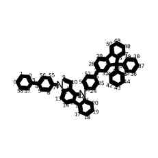 c1ccc(-c2ccc(-n3ccc4c3ccc3c5ccccc5n(-c5ccc(-c6ccc7c(c6)C(c6ccccc6)(c6ccccc6)c6ccccc6-7)cc5)c34)cc2)cc1